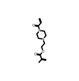 C=CC(=O)N1CCN(CCOC(=O)C(=C)C)CC1